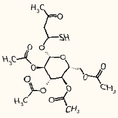 CC(=O)CC(S)O[C@@H]1O[C@H](COC(C)=O)[C@@H](OC(C)=O)[C@H](OC(C)=O)[C@H]1OC(C)=O